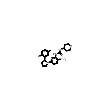 O=C(Nc1nc(N2CCCC2c2cc(F)ccc2F)ccc1[N+](=O)[O-])NC1CCOCC1